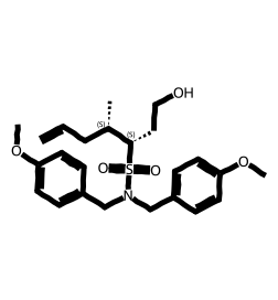 C=CC[C@H](C)[C@H](CCO)S(=O)(=O)N(Cc1ccc(OC)cc1)Cc1ccc(OC)cc1